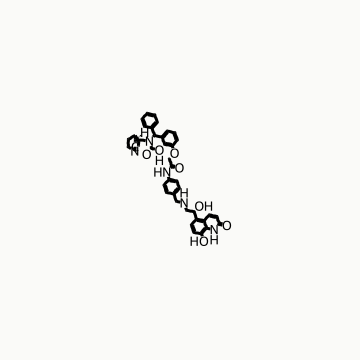 O=C(COc1cccc(C(c2ccccc2)N(C(=O)O)[C@H]2CN3CCC2CC3)c1)Nc1ccc(CNC[C@@H](O)c2ccc(O)c3[nH]c(=O)ccc23)cc1